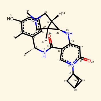 Cc1c(C#N)cccc1[C@@H](C)NC(=O)c1cn(C23CC(C2)C3)c(=O)cc1N[C@H]1[C@@H]2CN(C)C[C@@H]21